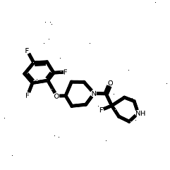 O=C(N1CCC(Oc2c(F)cc(F)cc2F)CC1)C1(F)CCNCC1